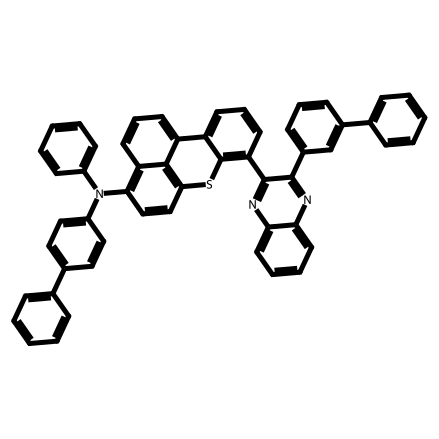 c1ccc(-c2ccc(N(c3ccccc3)c3ccc4c5c(cccc35)-c3cccc(-c5nc6ccccc6nc5-c5cccc(-c6ccccc6)c5)c3S4)cc2)cc1